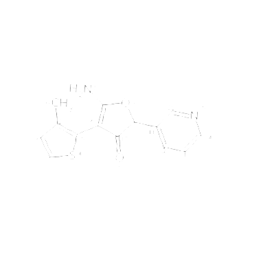 Cc1ccsc1C1=C(N)OC(c2cccnc2)C1=O